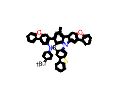 Cc1cc2c3c4c1c1cc5oc6ccccc6c5cc1n4-c1cc4sc5ccccc5c4cc1B3N(c1ccc(C(C)(C)C)cc1)c1cc3c(cc1-2)oc1ccccc13